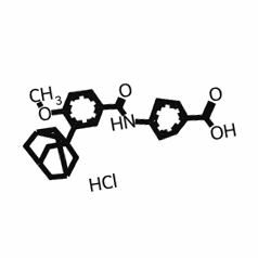 COc1ccc(C(=O)Nc2ccc(C(=O)O)cc2)cc1C12CC3CC(CC(C3)C1)C2.Cl